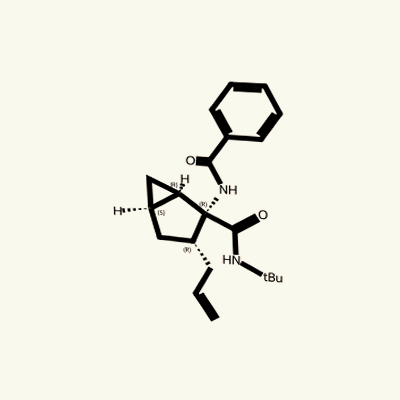 C=CC[C@@H]1C[C@H]2C[C@H]2[C@@]1(NC(=O)c1ccccc1)C(=O)NC(C)(C)C